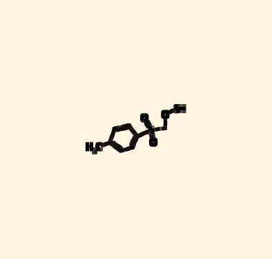 Cc1ccc(S(=O)(=O)COS)cc1